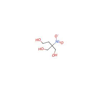 O=[N+]([O-])C(CO)(CO)CCO